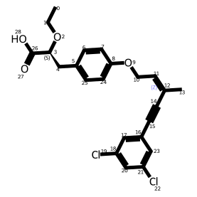 CCO[C@@H](Cc1ccc(OC/C=C(/C)C#Cc2cc(Cl)cc(Cl)c2)cc1)C(=O)O